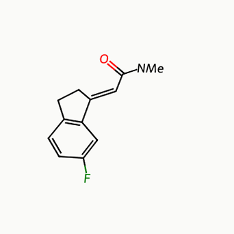 CNC(=O)/C=C1\CCc2ccc(F)cc21